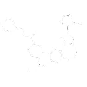 CCCn1ncnc1-c1cn2c(n1)-c1ccc(OC(C)C3CCN(C(=O)OCc4ccccc4)CC3)cc1OCC2